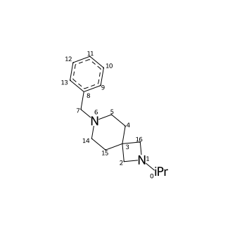 CC(C)N1CC2(CCN(Cc3ccccc3)CC2)C1